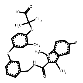 Cc1cc(Oc2cccc(CNC(=O)c3c(C)c4cc(F)ccc4n3C)c2)ccc1OC(C)(C)C(=O)O